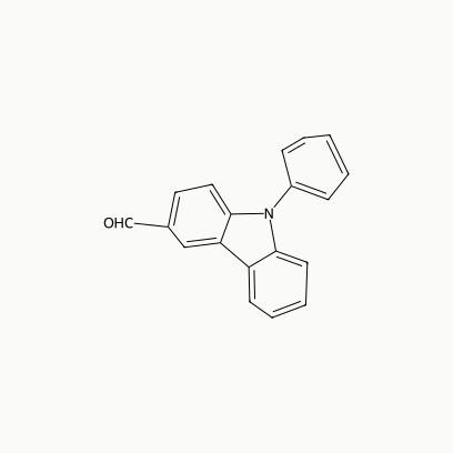 O=Cc1ccc2c(c1)c1ccccc1n2-c1ccccc1